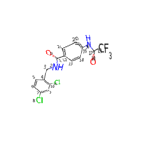 O=C(NCc1ccc(Cl)cc1Cl)c1ccc(NC(=O)C(F)(F)F)cc1